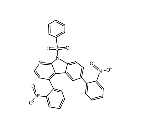 O=[N+]([O-])c1ccccc1-c1ccc2c(c1)c1c(-c3ccccc3[N+](=O)[O-])ccnc1n2S(=O)(=O)c1ccccc1